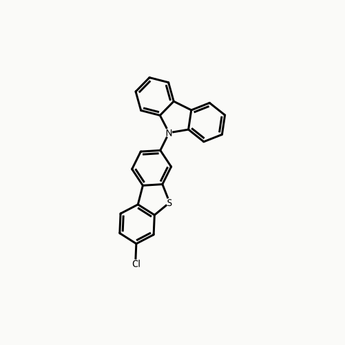 Clc1ccc2c(c1)sc1cc(-n3c4ccccc4c4ccccc43)ccc12